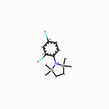 C[Si]1(C)CC[Si](C)(C)N1c1ccc(F)cc1F